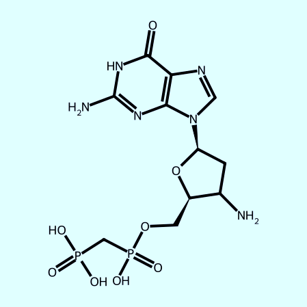 Nc1nc2c(ncn2[C@H]2CC(N)[C@@H](COP(=O)(O)CP(=O)(O)O)O2)c(=O)[nH]1